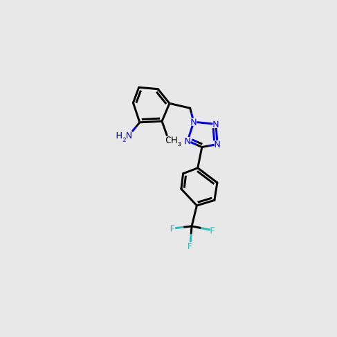 Cc1c(N)cccc1Cn1nnc(-c2ccc(C(F)(F)F)cc2)n1